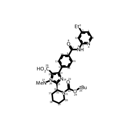 CCc1ccnc(NC(=O)c2ccc(-c3nc([C@@H]4CCCCN4C(=O)OC(C)(C)C)n(NC)c3C(=O)O)cc2)c1